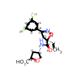 C=C[C@]1(C(=O)N[C@@H]2CO[C@H](C(=O)O)C2)CC(c2cc(F)cc(F)c2)=NO1